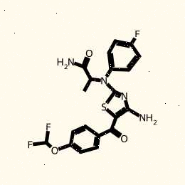 CC(C(N)=O)N(c1ccc(F)cc1)c1nc(N)c(C(=O)c2ccc(OC(F)F)cc2)s1